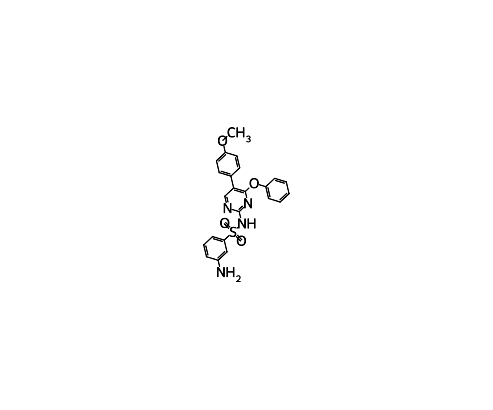 COc1ccc(-c2cnc(NS(=O)(=O)c3cccc(N)c3)nc2Oc2ccccc2)cc1